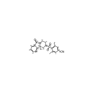 Cc1cc(C#N)cc(C)c1S(=O)(=O)N1CCN2C(=O)c3cccnc3C2(C)C1